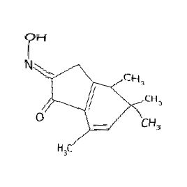 CC1=CC(C)(C)C(C)C2=C1C(=O)/C(=N/O)C2